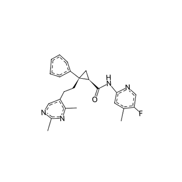 Cc1ncc(CC[C@@]2(c3ccccc3)C[C@H]2C(=O)Nc2cc(C)c(F)cn2)c(C)n1